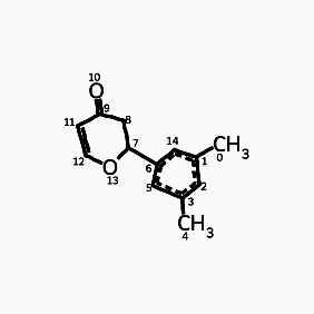 Cc1cc(C)cc(C2CC(=O)C=CO2)c1